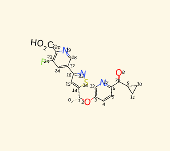 C[C@@H](Oc1ccc(C(=O)C2CC2)nc1)c1cc(-c2cnc(C(=O)O)c(F)c2)ns1